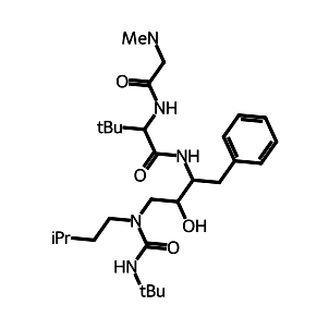 CNCC(=O)NC(C(=O)NC(Cc1ccccc1)C(O)CN(CCC(C)C)C(=O)NC(C)(C)C)C(C)(C)C